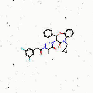 C[C@H](NC(=O)Cc1cc(F)cc(F)c1)C(=O)N[C@@H]1C(=O)N(CC2CC2)c2ccccc2O[C@@H]1c1ccccc1